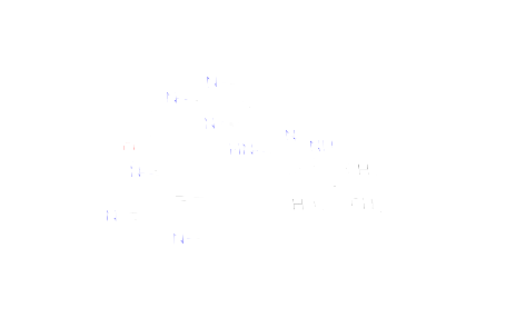 CC(C)(C)c1cc(Nc2ccnc(N3CC[C@H]3c3cc(-c4cccnc4C#N)no3)n2)n[nH]1